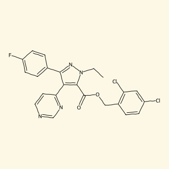 CCn1nc(-c2ccc(F)cc2)c(-c2ccncn2)c1C(=O)OCc1ccc(Cl)cc1Cl